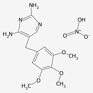 COc1cc(Cc2cnc(N)nc2N)cc(OC)c1OC.O=[N+]([O-])O